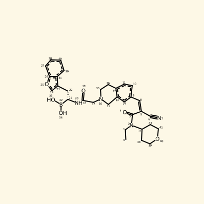 CCN(C(=O)C(C#N)=Cc1ccc2c(c1)CN(CC(=O)N[C@@H](Cc1coc3ccccc13)B(O)O)CC2)C1CCOCC1